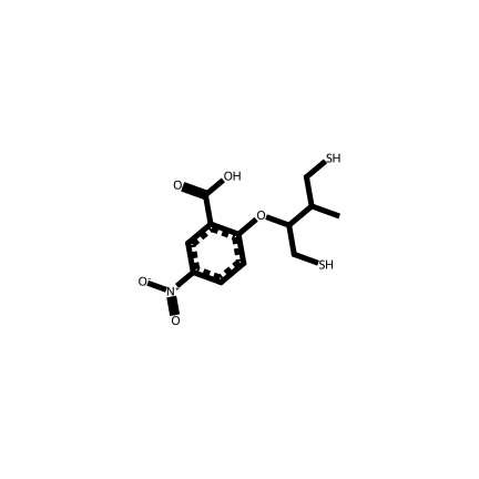 CC(CS)C(CS)Oc1ccc([N+](=O)[O-])cc1C(=O)O